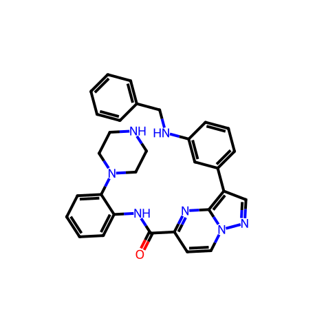 O=C(Nc1ccccc1N1CCNCC1)c1ccn2ncc(-c3cccc(NCc4ccccc4)c3)c2n1